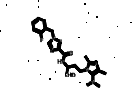 Cc1nc(C)n(CCC(C=O)NC(=O)c2ncn(Cc3ccccc3F)n2)c1N(C)C